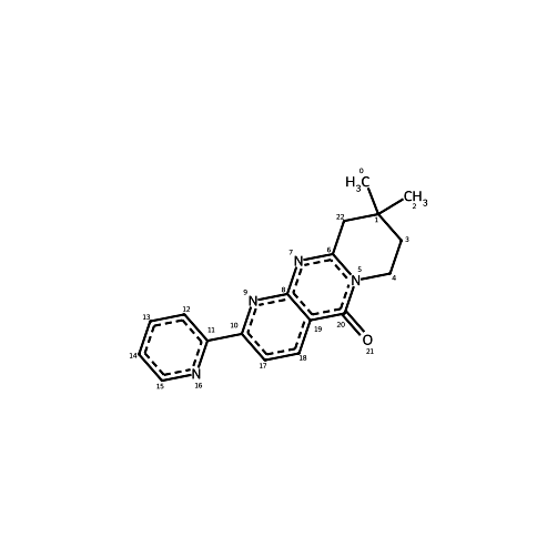 CC1(C)CCn2c(nc3nc(-c4ccccn4)ccc3c2=O)C1